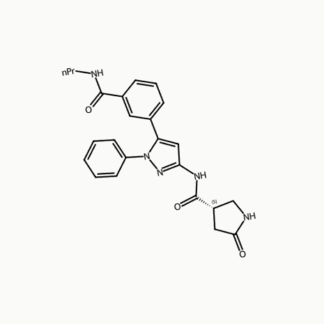 CCCNC(=O)c1cccc(-c2cc(NC(=O)[C@@H]3CNC(=O)C3)nn2-c2ccccc2)c1